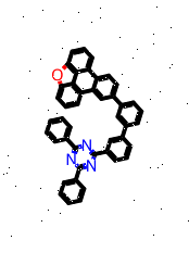 c1ccc(-c2nc(-c3ccccc3)nc(-c3cccc(-c4cccc(-c5ccc6c(c5)c5cccc7oc8cccc6c8c75)c4)c3)n2)cc1